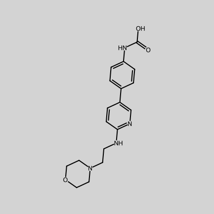 O=C(O)Nc1ccc(-c2ccc(NCCN3CCOCC3)nc2)cc1